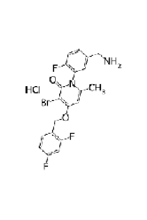 Cc1cc(OCc2ccc(F)cc2F)c(Br)c(=O)n1-c1cc(CN)ccc1F.Cl